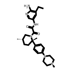 CCc1cc(NC(=O)C(=O)N2C[C@@H](C)CC[C@@]2(C)c2ccc(N3CCN(C)CC3)cc2)cnc1N